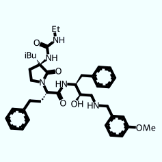 CCNC(=O)N[C@]1([C@@H](C)CC)CCN([C@@H](CCc2ccccc2)C(=O)N[C@@H](Cc2ccccc2)[C@H](O)CNCc2cccc(OC)c2)C1=O